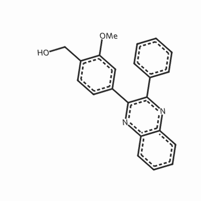 COc1cc(-c2nc3ccccc3nc2-c2ccccc2)ccc1CO